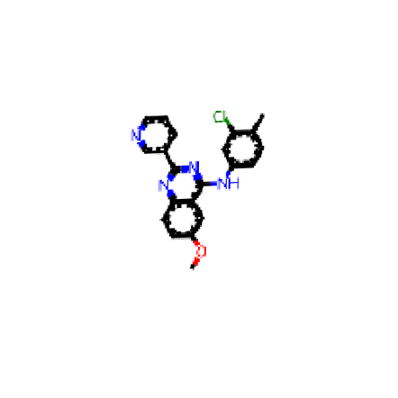 COc1ccc2nc(-c3cccnc3)nc(Nc3ccc(C)c(Cl)c3)c2c1